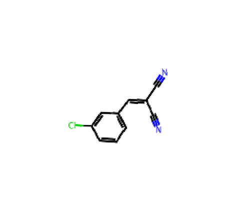 N#CC(C#N)=Cc1cccc(Cl)c1